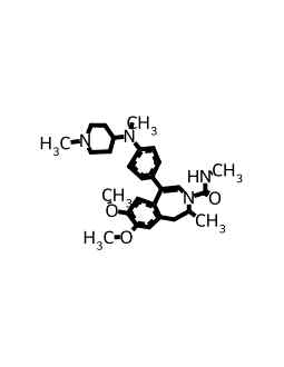 CNC(=O)N1C=C(c2ccc(N(C)C3CCN(C)CC3)cc2)c2cc(OC)c(OC)cc2CC1C